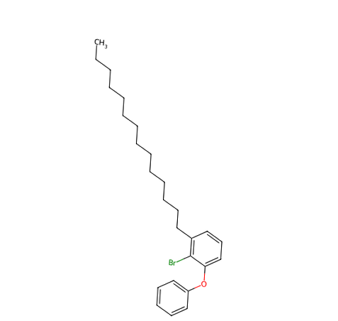 CCCCCCCCCCCCCCc1cccc(Oc2ccccc2)c1Br